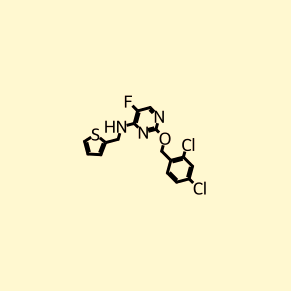 Fc1cnc(OCc2ccc(Cl)cc2Cl)nc1NCc1cccs1